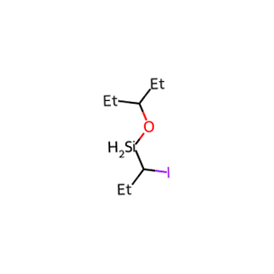 CCC(CC)O[SiH2]C(I)CC